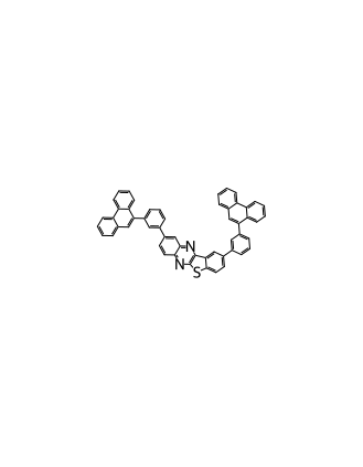 c1cc(-c2ccc3nc4sc5ccc(-c6cccc(-c7cc8ccccc8c8ccccc78)c6)cc5c4nc3c2)cc(-c2cc3ccccc3c3ccccc23)c1